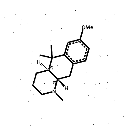 COc1ccc2c(c1)C(C)(C)[C@@H]1CCCN(C)[C@H]1C2